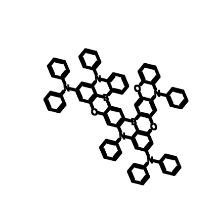 c1ccc(N(c2ccccc2)c2cc3c4c(c2)N(c2ccccc2)c2ccccc2B4c2cc4c(cc2O3)N(c2ccccc2)c2cc(N(c3ccccc3)c3ccccc3)cc3c2B4c2cc4c(cc2O3)N(c2ccccc2)c2ccccc2O4)cc1